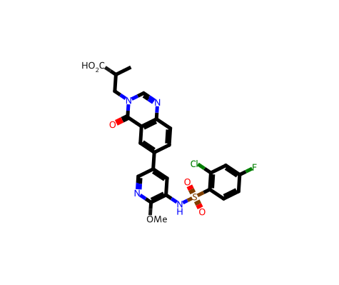 COc1ncc(-c2ccc3ncn(CC(C)C(=O)O)c(=O)c3c2)cc1NS(=O)(=O)c1ccc(F)cc1Cl